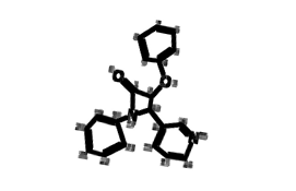 O=C1C(Oc2ccccc2)C(c2cccnc2)N1c1ccccc1